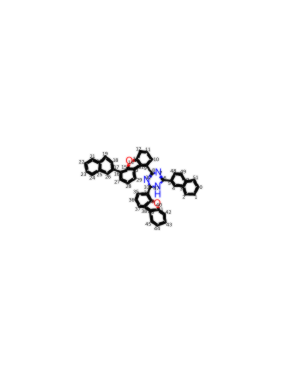 c1ccc2cc(C3=NC(c4cccc5oc6c(-c7ccc8ccccc8c7)cccc6c45)=NC(c4cccc5c4oc4ccccc45)N3)ccc2c1